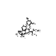 C=C(COC(C)=O)CC1Oc2c(F)cc(F)cc2-c2ccc3c(c21)C(C)=CC(C)(C)N3